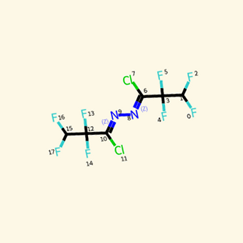 FC(F)C(F)(F)/C(Cl)=N/N=C(\Cl)C(F)(F)C(F)F